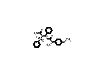 COc1ccc(N(C)C(=O)C[C@@H](c2ccccc2)N(C(N)=O)S(=O)(=O)c2ccccc2)cc1